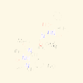 CC[C@H](C)[C@@H]([C@@H](CC(=O)N1CCC[C@H]1[C@H](OC)[C@@H](C)C(=O)N[C@H](C)[C@@H](O)c1ccccc1)OC)N(C)C(=O)[C@@H](NC(=O)[C@H](C(C)C)N(C)Cc1ccc([N+](=O)[O-])cc1)C(C)C